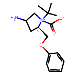 CC(C)(C)[N+]1(C(=O)[O-])CC(N)C[C@@H]1COc1ccccc1